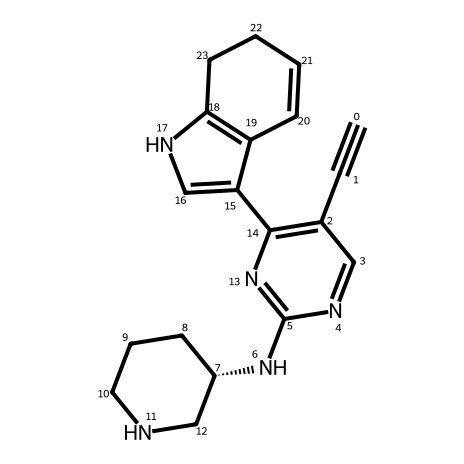 C#Cc1cnc(N[C@H]2CCCNC2)nc1-c1c[nH]c2c1C=CCC2